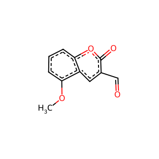 COc1cccc2oc(=O)c(C=O)cc12